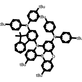 CC(C)(C)c1ccc(N(c2ccc(C(C)(C)C)cc2)c2cc3c4c(c2)N(c2ccc(N(c5ccc(C(C)(C)C)cc5)c5ccc(C(C)(C)C)cc5)c5c2-c2ccccc2C5(C)C)c2ccc(C(C)(C)C)cc2B4c2cc(C(C)(C)C)ccc2O3)cc1